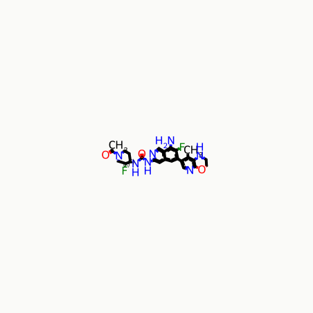 CC(=O)N1CC[C@H](NC(=O)Nc2cc3cc(-c4cnc5c(c4C)NCCO5)c(F)c(N)c3cn2)[C@H](F)C1